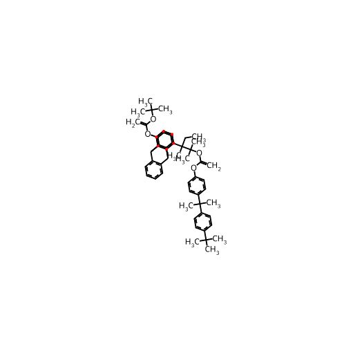 C=C(Oc1ccc(C(C)(CC)C(C)(C)OC(=C)Oc2ccc(C(C)(C)c3ccc(C(C)(C)C)cc3)cc2)c2c1C1c3ccccc3C2c2ccccc21)OC(C)(C)C